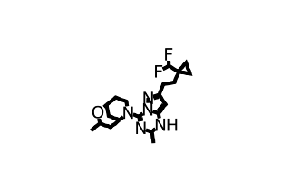 CC1N=C(N2CCC3CC2CC(C)O3)n2nc(CCC3(C(F)F)CC3)cc2N1